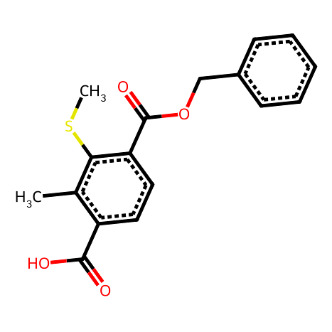 CSc1c(C(=O)OCc2ccccc2)ccc(C(=O)O)c1C